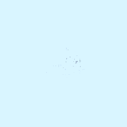 CCC[N+]12[C@H](O)[C@@H](CC)[C@@H]3C[C@H]1[C@@H]1N(C)c4ccccc4[C@]14C[C@H]2C3[C@H]4O.O=C([O-])C(O)C(O)C(=O)O